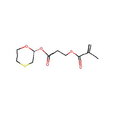 C=C(C)C(=O)OCCC(=O)OC1CSCCO1